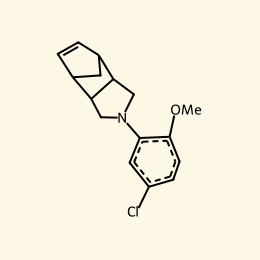 COc1ccc(Cl)cc1N1CC2C3C=CC(C3)C2C1